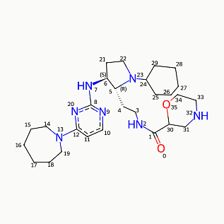 O=C(NCC[C@@H]1[C@@H](Nc2nccc(N3CCCCCC3)n2)CCN1C1CCCCC1)C1CNCCO1